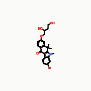 Cn1c2c(c3ccc(Br)cc31)C(=O)c1ccc(OCC(O)CCO)cc1C2(C)C